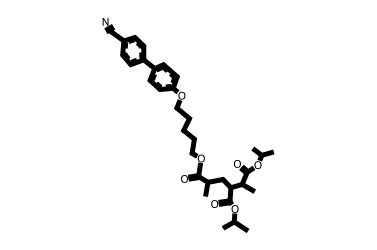 CC(C)OC(=O)C(C)C(CC(C)C(=O)OCCCCCOc1ccc(-c2ccc(C#N)cc2)cc1)C(=O)OC(C)C